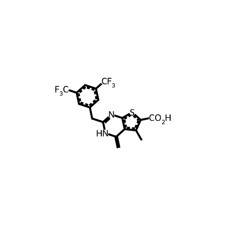 C=C1NC(Cc2cc(C(F)(F)F)cc(C(F)(F)F)c2)=Nc2sc(C(=O)O)c(C)c21